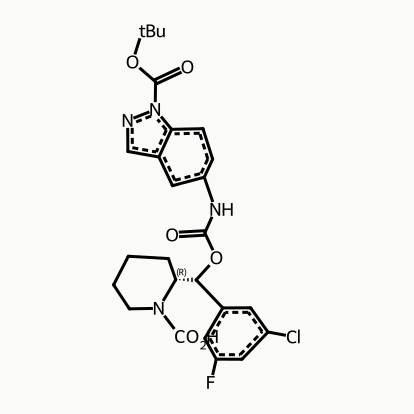 CC(C)(C)OC(=O)n1ncc2cc(NC(=O)OC(c3cc(F)cc(Cl)c3)[C@H]3CCCCN3C(=O)O)ccc21